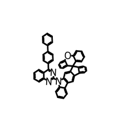 c1ccc(-c2ccc(-c3nc(-n4c5ccccc5c5cc6c(cc54)C4(c5ccccc5Oc5ccccc54)c4ccccc4-6)nc4ccccc34)cc2)cc1